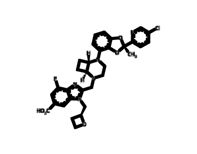 C[C@]1(c2ccc(Cl)cn2)Oc2cccc(N3CCN(Cc4nc5c(F)cc(C(=O)O)cc5n4C[C@@H]4CCO4)[C@H]4CC[C@@H]43)c2O1